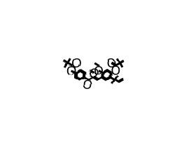 C=CC(C)(C)c1cc(C=C(OC)C(=O)c2ccc(OC(=O)C(C)(C)C)cc2)c(OCC)cc1OC(=O)C(C)(C)C